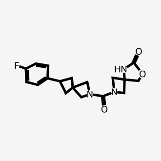 O=C1NC2(CO1)CN(C(=O)N1CC3(CC(c4ccc(F)cc4)C3)C1)C2